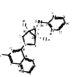 Clc1cc2ncccc2c(N2C[C@@H]3[C@H](C2)[C@H]3Nc2ncccn2)n1